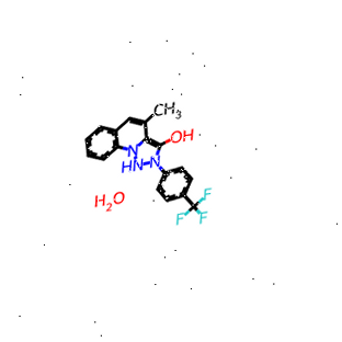 CC1=Cc2ccccc2N2NN(c3ccc(C(F)(F)F)cc3)C(O)=C12.O